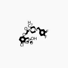 C[C@@H]1CN(Cc2ccc(F)c(F)c2)CCN1C(=O)COc1ccc(Cl)cc1CP(=O)(O)O